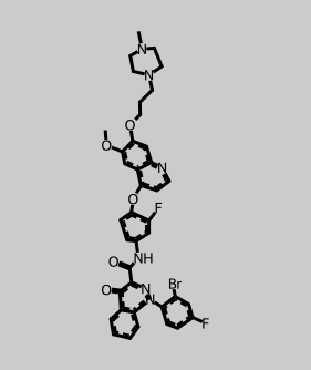 COc1cc2c(Oc3ccc(NC(=O)c4nn(-c5ccc(F)cc5Br)c5ccccc5c4=O)cc3F)ccnc2cc1OCCCN1CCN(C)CC1